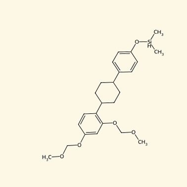 COCOc1ccc(C2CCC(c3ccc(O[SiH](C)C)cc3)CC2)c(OCOC)c1